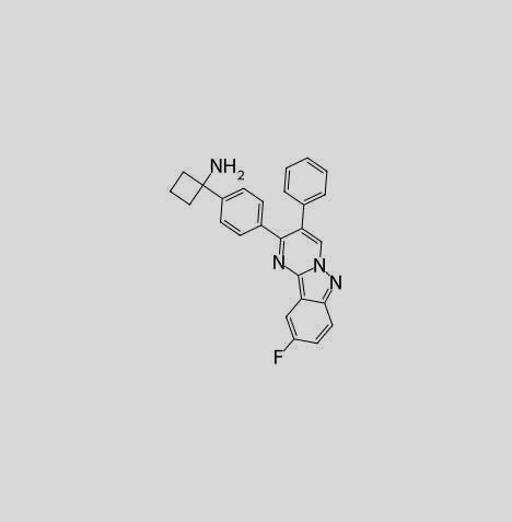 NC1(c2ccc(-c3nc4c5cc(F)ccc5nn4cc3-c3ccccc3)cc2)CCC1